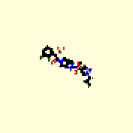 O=C([C@@H](CO)c1cccc(F)c1F)N1Cc2cn(S(=O)(=O)c3cnn(CC(F)F)c3)nc2C1